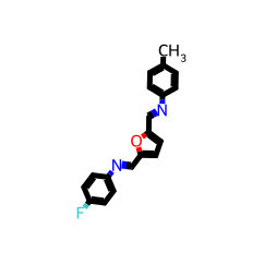 Cc1ccc(N=Cc2ccc(C=Nc3ccc(F)cc3)o2)cc1